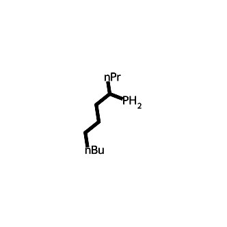 CCCCCCCC(P)CCC